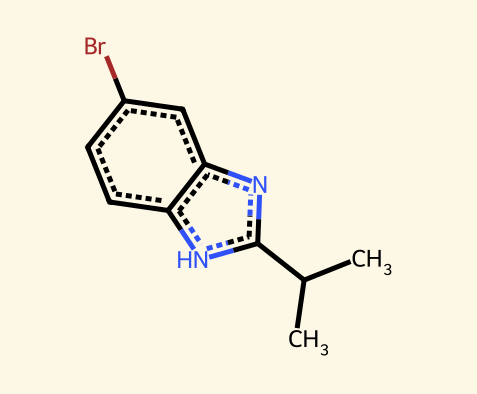 CC(C)c1nc2cc(Br)ccc2[nH]1